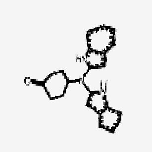 O=C1CCC(N(c2cc3ccccc3[nH]2)c2cc3ccccc3[nH]2)CC1